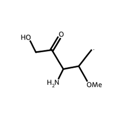 [CH2]C(OC)C(N)C(=O)CO